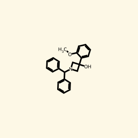 COc1ccccc1C1(O)CN(C(c2ccccc2)c2ccccc2)C1